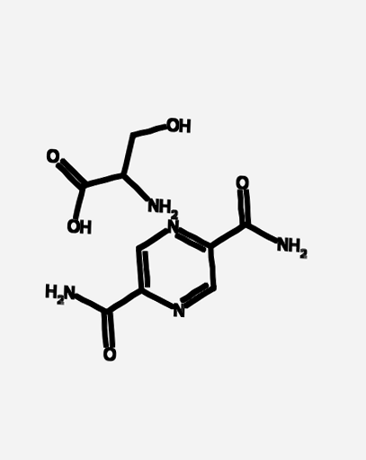 NC(=O)c1cnc(C(N)=O)cn1.NC(CO)C(=O)O